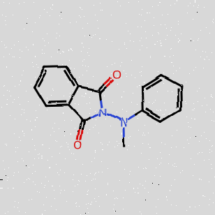 CN(c1ccccc1)N1C(=O)c2ccccc2C1=O